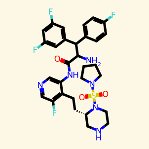 NC(C(=O)Nc1cncc(F)c1CC[C@H]1CNCCN1S(=O)(=O)N1CCCC1)C(c1ccc(F)cc1)c1cc(F)cc(F)c1